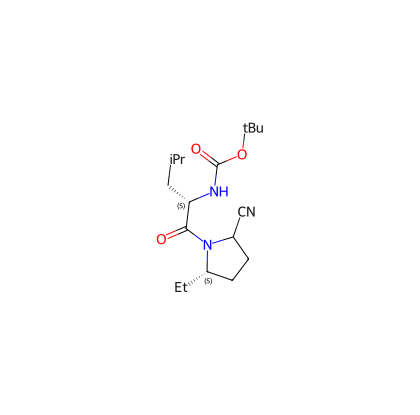 CC[C@H]1CCC(C#N)N1C(=O)[C@H](CC(C)C)NC(=O)OC(C)(C)C